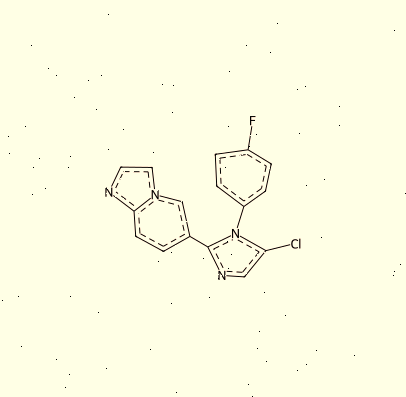 Fc1ccc(-n2c(Cl)cnc2-c2ccc3nccn3c2)cc1